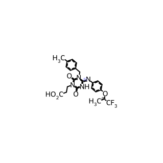 Cc1ccc(Cn2c(=O)n(CCC(=O)O)c(=O)[nH]/c2=N\c2ccc(O[C@H](C)C(F)(F)F)cc2)cc1